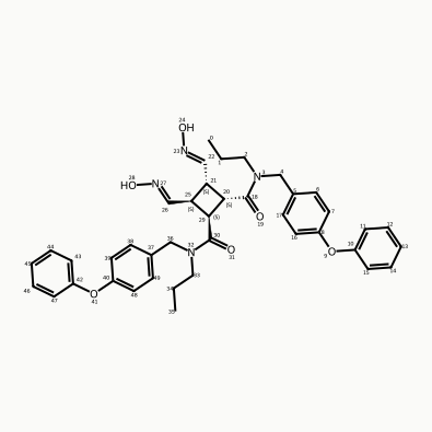 CCCN(Cc1ccc(Oc2ccccc2)cc1)C(=O)[C@H]1[C@@H](C=NO)[C@H](C=NO)[C@@H]1C(=O)N(CCC)Cc1ccc(Oc2ccccc2)cc1